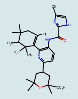 BC1=C(c2nc(C3CC(C)(C)OC(C)(C(=O)O)C3)ccc2NC(=O)c2nc(C#N)c[nH]2)C(B)(B)C(B)C(C)(C)C1